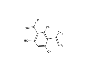 C=C(C)c1c(O)cc(O)c(C(=O)CCC)c1O